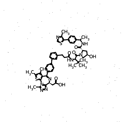 Cc1ncsc1-c1ccc(C(C)NC(=O)[C@@H]2C[C@@H](O)CN2C(=O)C(NC(=O)CCc2cccc(-c3ccc(C4=N[C@@H](CC(=O)O)c5nnc(C)n5-c5sc(C)c(C)c54)cc3)c2)C(C)(C)C)cc1